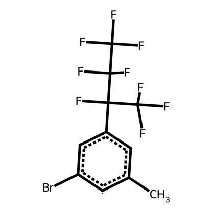 Cc1[c]c(Br)cc(C(F)(C(F)(F)F)C(F)(F)C(F)(F)F)c1